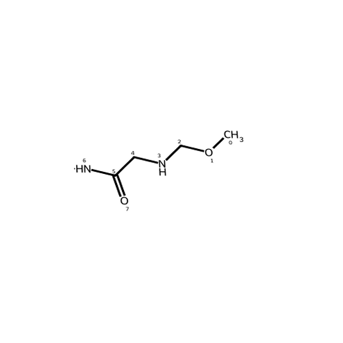 COCNCC([NH])=O